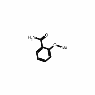 CCC(C)Oc1ccccc1C(N)=O